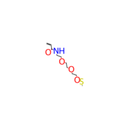 C=CC(=O)NCCOCCOCCOSC